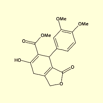 COC(=O)C1=C(O)CC2=C(C(=O)OC2)C1c1ccc(OC)c(OC)c1